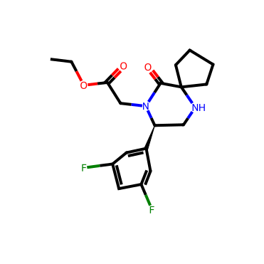 CCOC(=O)CN1C(=O)C2(CCCC2)NC[C@H]1c1cc(F)cc(F)c1